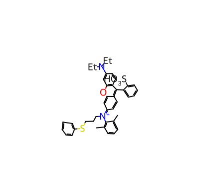 CCN(CC)c1ccc2c(-c3ccccc3S(=O)(=O)O)c3cc/c(=[N+](/CCCSc4ccccc4)c4c(C)cccc4C)cc-3oc2c1